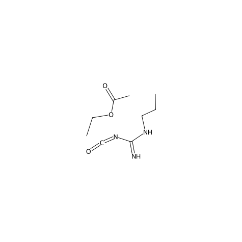 CCCNC(=N)N=C=O.CCOC(C)=O